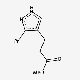 COC(=O)CCc1c[nH]nc1C(C)C